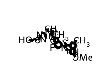 COc1cnc2c(-c3nc4cc(F)c5c(c4s3)C[C@@](C)(OC(=O)N(C)c3cnc(OCCO)nc3)O5)cc(C)cc2n1